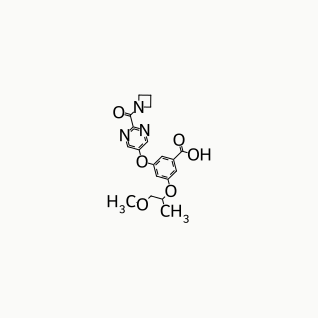 COCC(C)Oc1cc(Oc2cnc(C(=O)N3CCC3)nc2)cc(C(=O)O)c1